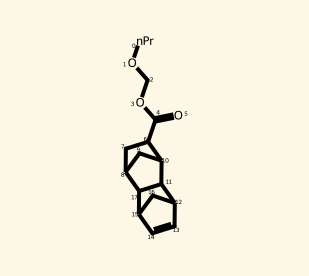 CCCOCOC(=O)C1CC2CC1C1C3C=CC(C3)C21